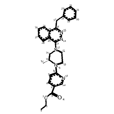 CCOC(=O)c1ccc(N2CCN(c3nnc(Cc4ccccc4)c4ccccc34)C[C@H]2C)nc1